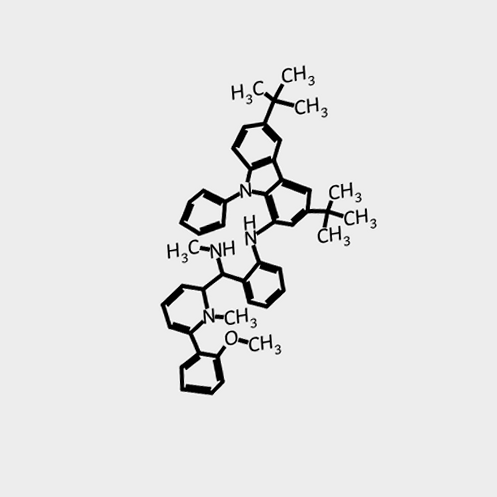 CNC(c1ccccc1Nc1cc(C(C)(C)C)cc2c3cc(C(C)(C)C)ccc3n(-c3ccccc3)c12)C1C=CC=C(c2ccccc2OC)N1C